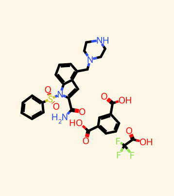 NC(=O)c1cc2c(CN3CCNCC3)cccc2n1S(=O)(=O)c1ccccc1.O=C(O)C(F)(F)F.O=C(O)c1cccc(C(=O)O)c1